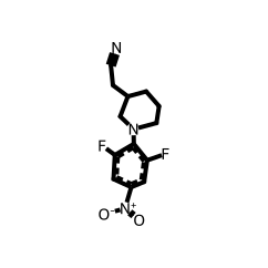 N#CCC1CCCN(c2c(F)cc([N+](=O)[O-])cc2F)C1